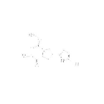 COC(=O)[C@H]1C[C@@H](c2csc(C)n2)CN1C(=O)OC(C)(C)C